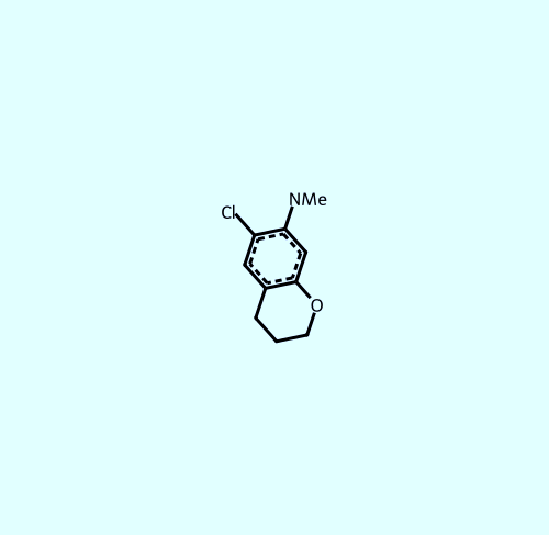 CNc1cc2c(cc1Cl)CCCO2